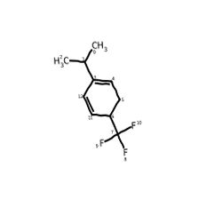 CC(C)C1=CCC(C(F)(F)F)C=C1